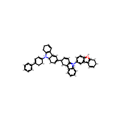 C1=CC2=C(CC1)N(C1=CC=C(c3ccccc3)CC1)C1CC=C(C3C=Cc4c(c5ccccc5n4-c4ccc5oc6c(c5c4)C=CCC6)C3)C=C21